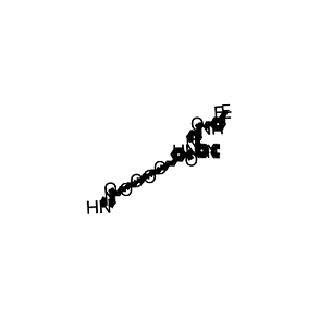 CCN(CC)c1ccc(NC(=O)c2cccc(CCCOCCOCCOCCOCCC(=O)N3CCNCC3)c2)c(-c2cc(C(=O)NCc3cccc(C(F)(F)F)c3)ccn2)c1